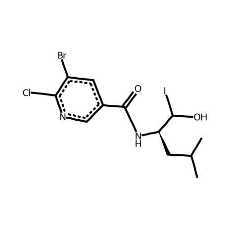 CC(C)C[C@@H](NC(=O)c1cnc(Cl)c(Br)c1)C(O)I